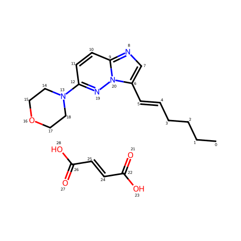 CCCC/C=C/c1cnc2ccc(N3CCOCC3)nn12.O=C(O)/C=C/C(=O)O